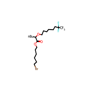 CCCCC(OCCCCCCC(F)(F)C(F)(F)F)C(=O)OCCCCCCBr